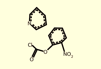 O=C(Cl)Oc1ccccc1[N+](=O)[O-].c1ccncc1